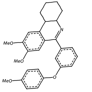 COc1ccc(Oc2cccc(C3=NC4CCCCC4c4cc(OC)c(OC)cc43)c2)cc1